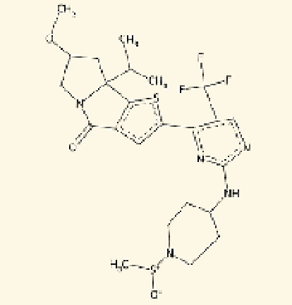 COC1CN2C(=O)c3cc(-c4nc(NC5CCN([S+](C)[O-])CC5)ncc4C(F)(F)F)sc3C2(C(C)C)C1